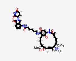 CO[C@H]1/C=C\C=C(/C)C(=O)NC2=CC(=O)C(NCCCCCC(=O)Nc3cccc4c3CN(C3CCC(=O)NC3=O)C4=O)=C(C[C@@H](C)C[C@H](OC)[C@@H](O)[C@@H](C)/C=C(\C)[C@@H]1NC(=O)O)C2=O